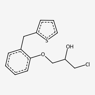 OC(CCl)COc1ccccc1Cc1cccs1